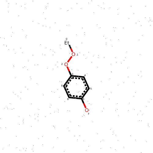 CCOOc1ccc([O])cc1